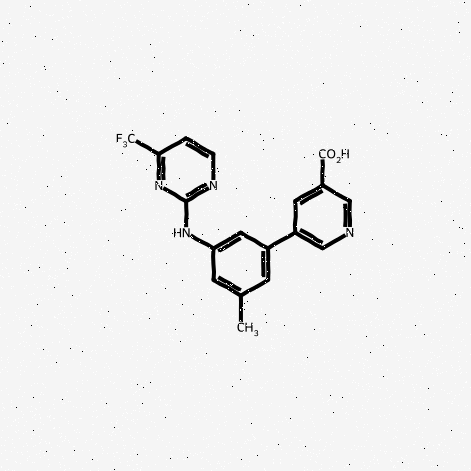 Cc1cc(Nc2nccc(C(F)(F)F)n2)cc(-c2cncc(C(=O)O)c2)c1